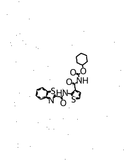 O=C(NC(=O)c1ccsc1NC(=O)c1nc2ccccc2s1)OC1CCCCC1